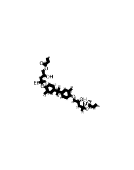 C=CC(=O)OCC(O)CC(C)(CC)Oc1ccc(C(C)(C)c2ccc(OCC(O)C[C@](C)(CC)OC(=O)C=C)c(C)c2)cc1C